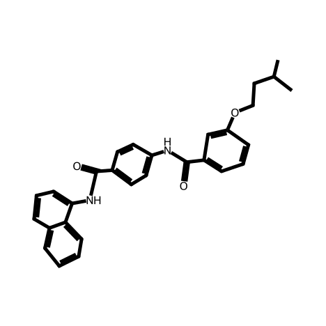 CC(C)CCOc1cccc(C(=O)Nc2ccc(C(=O)Nc3cccc4ccccc34)cc2)c1